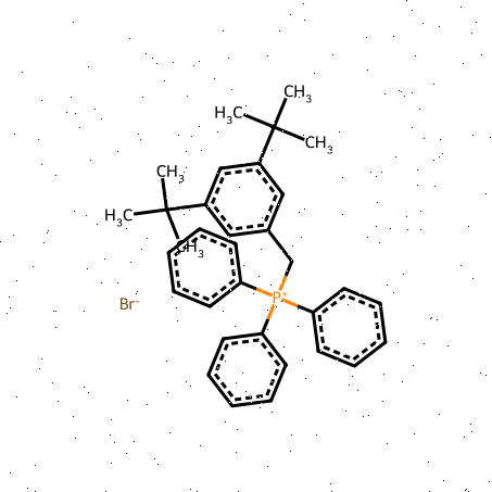 CC(C)(C)c1cc(C[P+](c2ccccc2)(c2ccccc2)c2ccccc2)cc(C(C)(C)C)c1.[Br-]